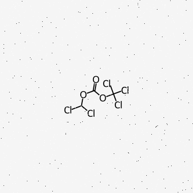 O=C(OC(Cl)Cl)OC(Cl)(Cl)Cl